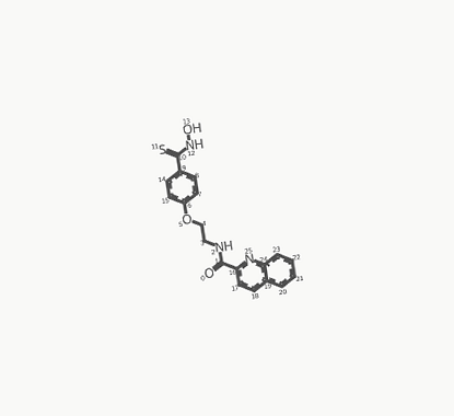 O=C(NCCOc1ccc(C(=S)NO)cc1)c1ccc2ccccc2n1